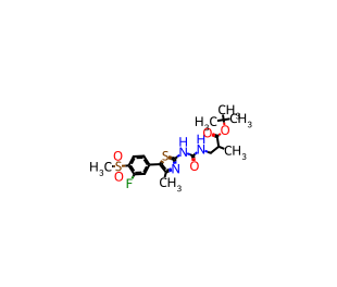 Cc1nc(NC(=O)NCC(C)C(=O)OC(C)(C)C)sc1-c1ccc(S(C)(=O)=O)c(F)c1